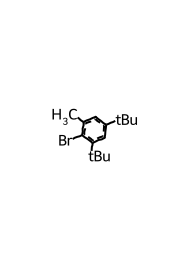 Cc1cc(C(C)(C)C)cc(C(C)(C)C)c1Br